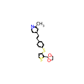 Cc1cc(/C=C/c2ccc(Sc3ccsc3C3OCCO3)cc2)ccn1